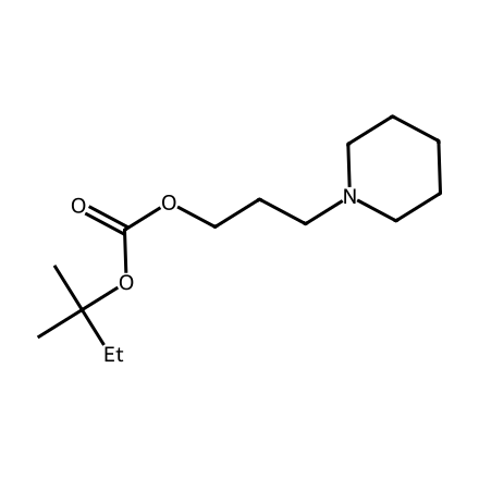 CCC(C)(C)OC(=O)OCCCN1CCCCC1